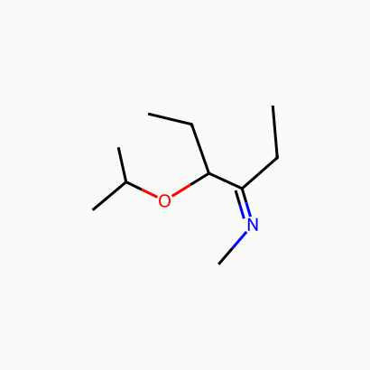 CC/C(=N/C)C(CC)OC(C)C